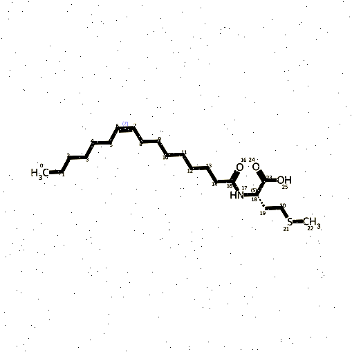 CCCCCC/C=C\CCCCCCCC(=O)N[C@@H](CCSC)C(=O)O